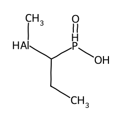 CC[CH]([AlH][CH3])[PH](=O)O